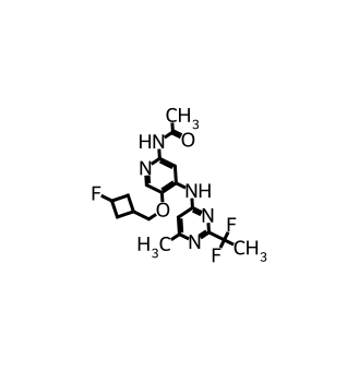 CC(=O)Nc1cc(Nc2cc(C)nc(C(C)(F)F)n2)c(OCC2CC(F)C2)cn1